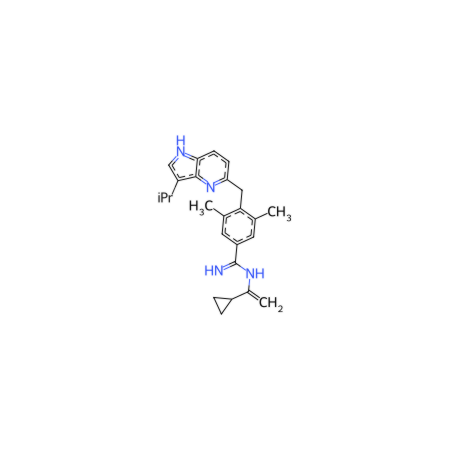 C=C(NC(=N)c1cc(C)c(Cc2ccc3[nH]cc(C(C)C)c3n2)c(C)c1)C1CC1